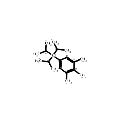 Cc1cc([Si](C(C)C)(C(C)C)C(C)C)cc(C)c1C